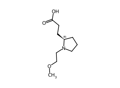 COCCN1CCC[C@@H]1CCC(=O)O